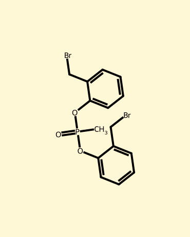 CP(=O)(Oc1ccccc1CBr)Oc1ccccc1CBr